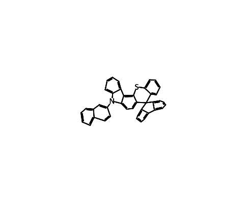 c1ccc2c(c1)Sc1c(ccc3c1c1ccccc1n3-c1ccc3ccccc3c1)C21c2ccccc2-c2ccccc21